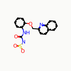 O=C(N=S(=O)=O)Nc1ccccc1OCc1ccc2ccccc2n1